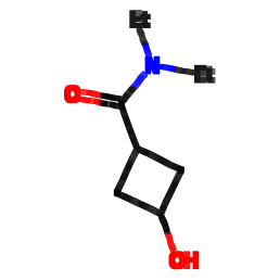 CCN(CC)C(=O)C1CC(O)C1